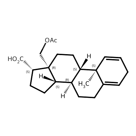 CC(=O)OC[C@]12CC[C@H]3[C@@H](CCC4=CCC=C[C@@]43C)[C@@H]1CC[C@@H]2C(=O)O